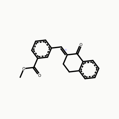 COC(=O)c1cccc(/C=C2\CCc3ccccc3C2=O)c1